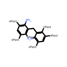 CCCCCc1cc(CCCCC)c(CCCCC)c(Cc2c(N)c(CCCCC)cc(CCCCC)c2CCCCC)c1N